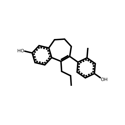 CCCC1=C(c2ccc(O)cc2C)CCCc2cc(O)ccc21